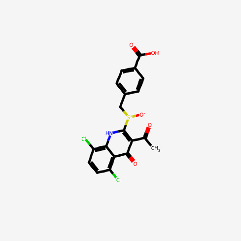 CC(=O)c1c([S+]([O-])Cc2ccc(C(=O)O)cc2)[nH]c2c(Cl)ccc(Cl)c2c1=O